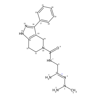 CN(N)/N=C(\N)CNC(=O)N1CCc2[nH]nc(-c3ccccc3)c2C1